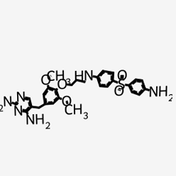 COc1cc(Cc2cnc(N)nc2N)cc(OC)c1OCCCNc1ccc(S(=O)(=O)c2ccc(N)cc2)cc1